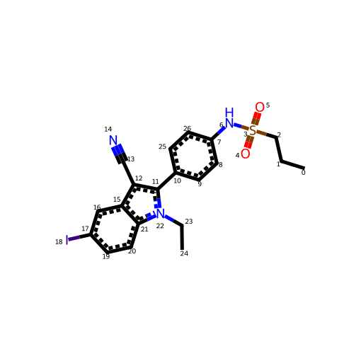 CCCS(=O)(=O)Nc1ccc(-c2c(C#N)c3cc(I)ccc3n2CC)cc1